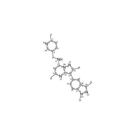 Cc1ccc(CNc2cc(C)nc3c(-c4ccc5c(c4)c(C)nn5C)c(C)nn23)cn1